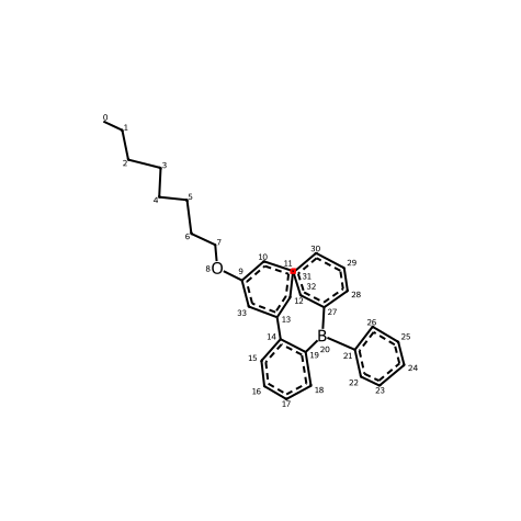 CCCCCCCCOc1cccc(-c2ccccc2B(c2ccccc2)c2ccccc2)c1